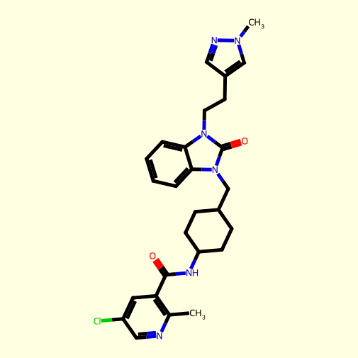 Cc1ncc(Cl)cc1C(=O)NC1CCC(Cn2c(=O)n(CCc3cnn(C)c3)c3ccccc32)CC1